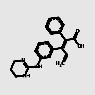 C=CC(=C(C(=O)O)c1ccccc1)c1cccc(NC2=NCCCN2)c1